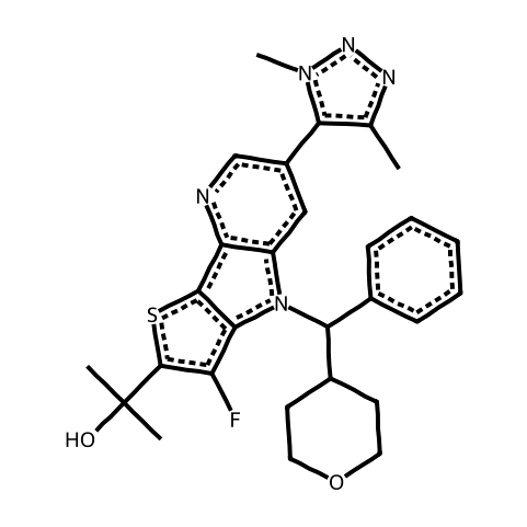 Cc1nnn(C)c1-c1cnc2c3sc(C(C)(C)O)c(F)c3n(C(c3ccccc3)C3CCOCC3)c2c1